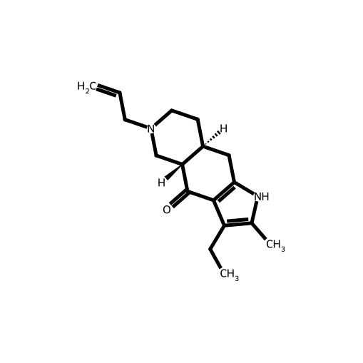 C=CCN1CC[C@H]2Cc3[nH]c(C)c(CC)c3C(=O)[C@@H]2C1